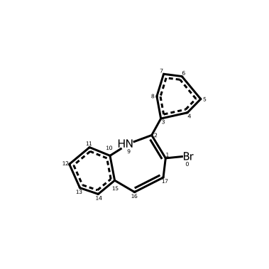 BrC1=C(c2ccccc2)Nc2ccccc2C=C1